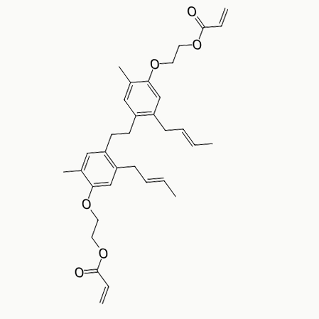 C=CC(=O)OCCOc1cc(CC=CC)c(CCc2cc(C)c(OCCOC(=O)C=C)cc2CC=CC)cc1C